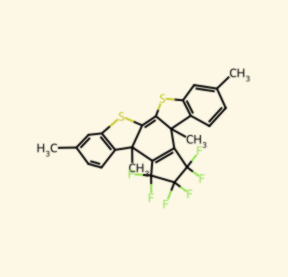 Cc1ccc2c(c1)SC1=C3Sc4cc(C)ccc4C3(C)C3=C(C12C)C(F)(F)C(F)(F)C3(F)F